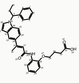 CCC(c1ccccc1)n1ccc2cc(C(C)=CC(=O)Nc3ccccc3OCCCC(=O)O)ccc21